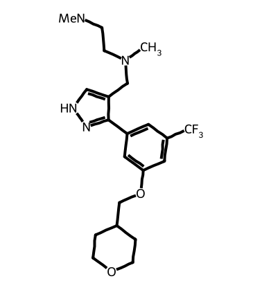 CNCCN(C)Cc1c[nH]nc1-c1cc(OCC2CCOCC2)cc(C(F)(F)F)c1